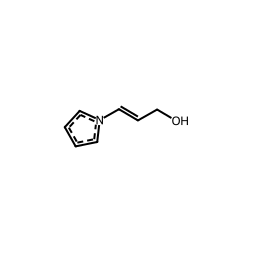 OCC=Cn1cccc1